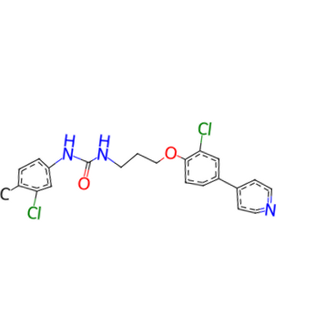 N#Cc1ccc(NC(=O)NCCCOc2ccc(-c3ccncc3)cc2Cl)cc1Cl